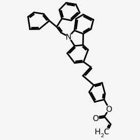 C=CC(=O)Oc1ccc(C=Cc2ccc3c(c2)c2ccccc2n3C=C(c2ccccc2)c2ccccc2)cc1